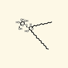 CCCCCCCCCCCCC/C=C/[C@@H](O)[C@H](CO[C@@H]1O[C@H](CO)[C@@H](O)[C@H](O)[C@H]1O)NC(=O)CCCCCCCCCCC